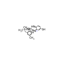 Cc1cc(CC(C)(C)C)c(O)c(N/N=C2/C=C(S)C=CC2=N)c1